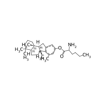 CCCCC(N)C(=O)Oc1cc(C)c2c(c1)C[C@@H]1[C@@]3(C)CCCC(C)(C)[C@@H]3CC[C@@]21C